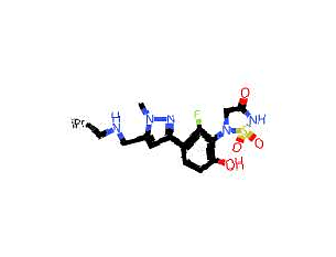 CC(C)CNCc1cc(-c2ccc(O)c(N3CC(=O)NS3(=O)=O)c2F)nn1C